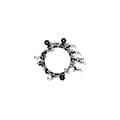 CCCC[C@H]1C(=O)N(C)[C@@H](CCCC)C(=O)N[C@@H](CCCNC(=N)N)C(=O)N[C@H](C(=O)NCC(N)=O)CSCC(=O)N[C@@H](Cc2ccccc2)C(=O)N(C)[C@@H](C)C(=O)N[C@@H](CC(N)=O)C(=O)N2CCC[C@H]2C(=O)N[C@@H](Cc2cnc[nH]2)C(=O)N[C@@H](CC(C)C)C(=O)N2CCC[C@H]2C(=O)N[C@@H](Cc2c[nH]c3ccccc23)C(=O)N[C@@H](CO)C(=O)N[C@@H](Cc2c[nH]c3ccccc23)C(=O)N1C